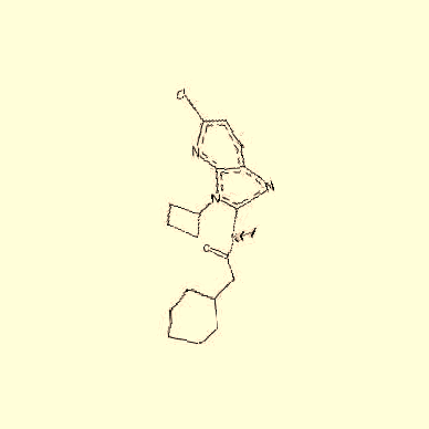 O=C(CC1CCCCC1)Nc1nc2ccc(Cl)nc2n1C1CCC1